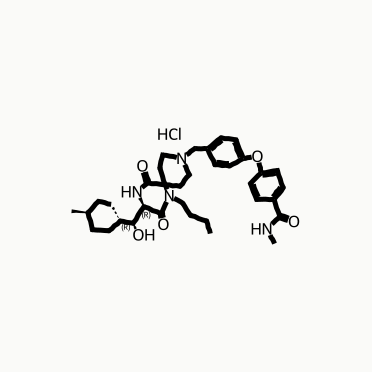 CCCCN1C(=O)[C@@H]([C@H](O)[C@H]2CC[C@H](C)CC2)NC(=O)C12CCN(Cc1ccc(Oc3ccc(C(=O)NC)cc3)cc1)CC2.Cl